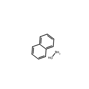 BO.c1ccc2ccccc2c1